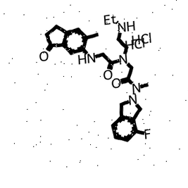 CCNCCN(CC(=O)N(C)N1Cc2cccc(F)c2C1)C(=O)CNc1cc2c(cc1C)CCC2=O.Cl.Cl